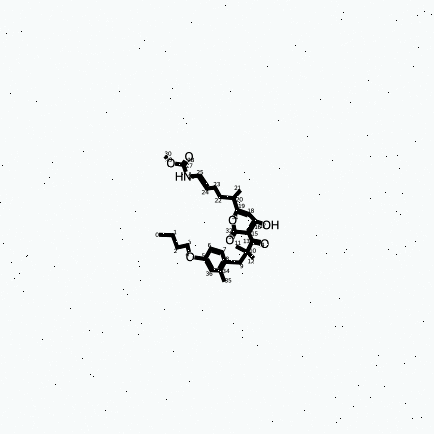 CCCCOc1ccc(CC(C)(C)C(=O)c2c(O)cc(C(C)CC/C=C/NC(=O)OC)oc2=O)c(C)c1